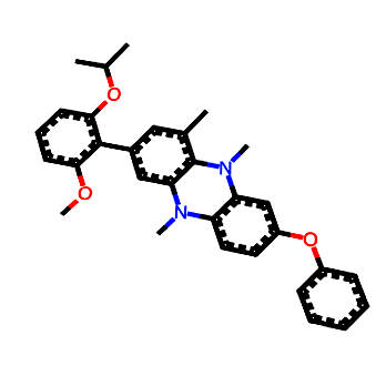 COc1cccc(OC(C)C)c1-c1cc(C)c2c(c1)N(C)c1ccc(Oc3ccccc3)cc1N2C